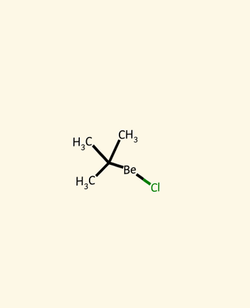 C[C](C)(C)[Be][Cl]